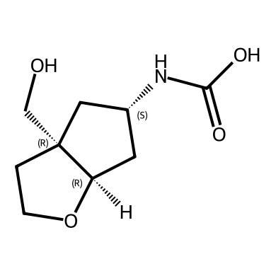 O=C(O)N[C@@H]1C[C@H]2OCC[C@@]2(CO)C1